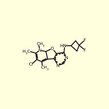 CC1=C2c3ncnc(NC4CC(F)(F)C4)c3OC2N(C)C(C)=C1Cl